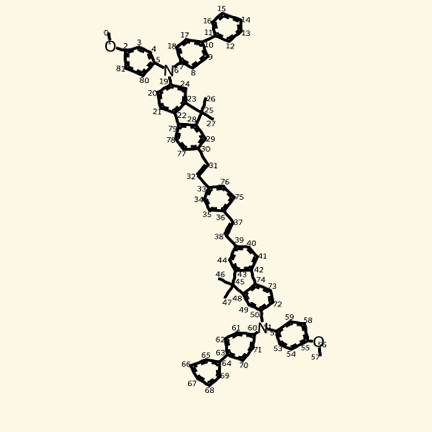 COc1ccc(N(c2ccc(-c3ccccc3)cc2)c2ccc3c(c2)C(C)(C)c2cc(/C=C/c4ccc(/C=C/c5ccc6c(c5)C(C)(C)c5cc(N(c7ccc(OC)cc7)c7ccc(-c8ccccc8)cc7)ccc5-6)cc4)ccc2-3)cc1